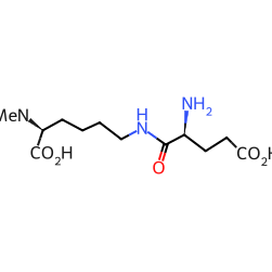 CN[C@@H](CCCCNC(=O)[C@@H](N)CCC(=O)O)C(=O)O